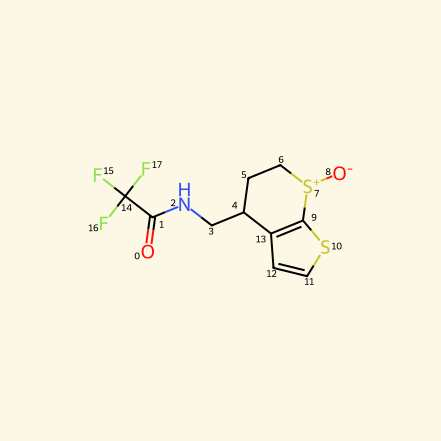 O=C(NCC1CC[S+]([O-])c2sccc21)C(F)(F)F